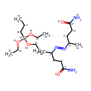 CC(CCC(N)=O)N=NC(C)CCC(N)=O.CCC[Si](OCC)(OCC)OCC